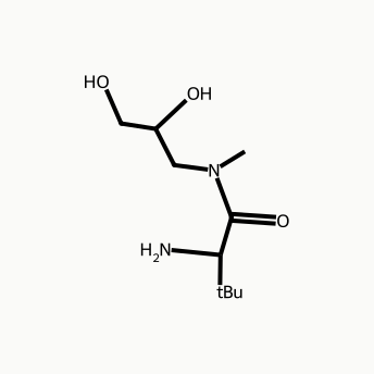 CN(CC(O)CO)C(=O)C(N)C(C)(C)C